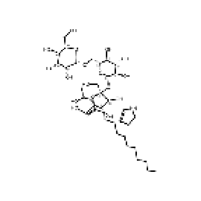 C1=NCCN1.CCCCCCCCCCCC(=O)OC(C)O.OC[C@H]1O[C@H](OC[C@H]2O[C@H](O[C@]3(CO)O[C@H](CO)[C@@H](O)[C@@H]3O)[C@H](O)[C@@H](O)[C@@H]2O)[C@H](O)[C@@H](O)[C@H]1O